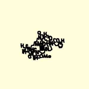 CC[C@H](C)[C@@H]([C@@H](CC(=O)N1CCC[C@H]1[C@H](OC)[C@@H](C)C(=O)N[C@@H](Cc1ccccc1)C(=O)O)OC)N(C)C(=O)[C@@H](NC(=O)C(C(C)C)N(C)C(=O)CCCCCN1C(=O)C=CC1=O)C(C)C